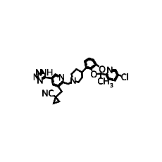 C[C@]1(c2ccc(Cl)cn2)Oc2cccc(C3CCN(Cc4ncc(-c5nnn[nH]5)cc4CC4(C#N)CC4)CC3)c2O1